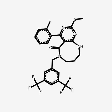 CSc1nc2c(c(-c3ccccc3C)n1)C(=O)N(Cc1cc(C(F)(F)F)cc(C(F)(F)F)c1)CCCN2